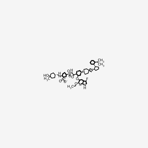 CCOc1nc2[nH]cc(F)c2cc1Oc1cc(N2CCC3(CC2)CN([C@@H]2CCC[C@@H]2c2ccccc2C(C)C)C3)ccc1C(=O)NS(=O)(=O)c1ccc(NC[C@H]2CC[C@](C)(O)CC2)c([N+](=O)[O-])c1